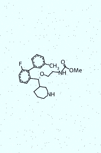 COC(=O)NCCO[C@@H](c1cccc(F)c1-c1cccc(C)c1)C1CCCNC1